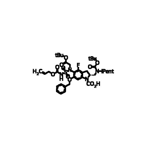 C=CCOC(=O)NS(=O)(=O)N(CC(=O)OC(C)(C)C)c1c(OCc2ccccc2)cc2c(c1F)C[C@H](CN(C(=O)OC(C)(C)C)C(C)CCC)N2C(=O)O